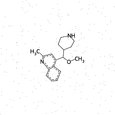 COC(c1cc(C)nc2ccccc12)C1CCNCC1